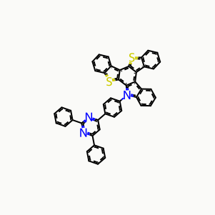 c1ccc(-c2cc(-c3ccc(-n4c5ccccc5c5c6c7ccccc7sc6c6c7ccccc7sc6c54)cc3)nc(-c3ccccc3)n2)cc1